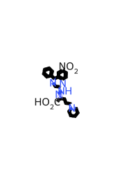 O=C(O)/C(CCCN1CCCCC1)=N/NC1=Nc2ccc([N+](=O)[O-])cc2C(c2ccccc2)=NC1